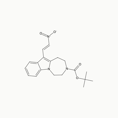 CC(C)(C)OC(=O)N1CCc2c(C=C[N+](=O)[O-])c3ccccc3n2CC1